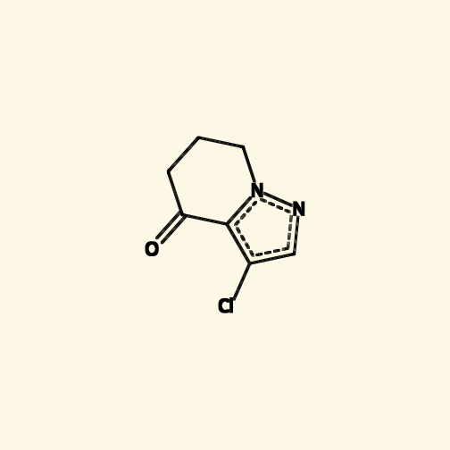 O=C1CCCn2ncc(Cl)c21